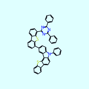 c1ccc(-c2nc(-c3ccccc3)nc(-c3cccc4c3sc3c(-c5ccc6c(c5)c5c7sc8ccccc8c7ccc5n6-c5ccccc5)cccc34)n2)cc1